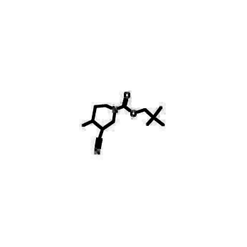 CC1CCN(C(=O)OCC(C)(C)C)CC1C#N